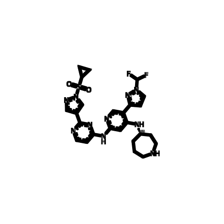 O=S(=O)(C1CC1)n1cc(-c2nccc(Nc3cc(N[C@H]4CCCNCC4)c(-c4ccn(C(F)F)n4)cn3)n2)cn1